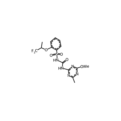 COc1nc(C)nc(NC(=O)NS(=O)(=O)c2ccccc2OC(C)C(F)(F)F)n1